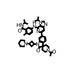 CC(=O)N1CCC2(CC1)C(=O)N(C1CC(N3CCCCC3)C1)c1cc(-c3cc4ncn(C(C)C)c4c(Nc4ccc(C)c(C(=O)NC(C)C)c4)n3)ccc12